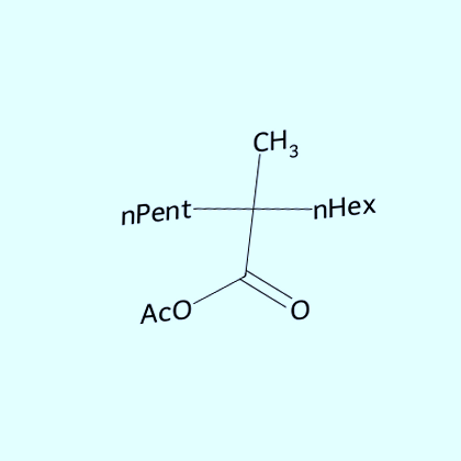 CCCCCCC(C)(CCCCC)C(=O)OC(C)=O